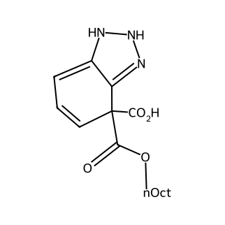 CCCCCCCCOC(=O)C1(C(=O)O)C=CC=C2NNN=C21